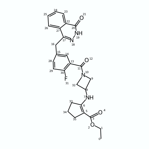 CCOC(=O)C1=C(NC2CN(C(=O)c3cc(Cc4n[nH]c(=O)c5ccccc45)ccc3F)C2)CCC1